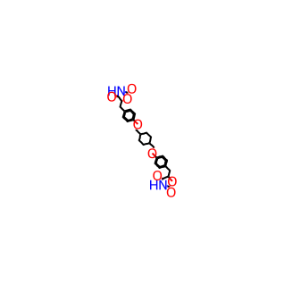 O=C1NC(=O)C(Cc2ccc(OCC3CCC(COc4ccc(CC5OC(=O)NC5=O)cc4)CC3)cc2)O1